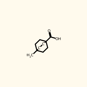 [CH2]C12CCC(C(=O)O)(CC1)CC2